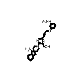 CC(=O)Nc1cccc(OCC#Cc2cnc(N3CCC4(CC3)Cc3ccccc3[C@H]4N)c(CO)n2)c1